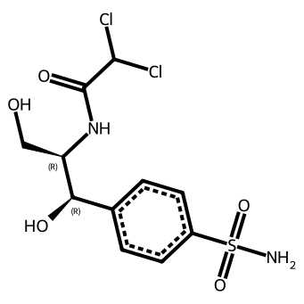 NS(=O)(=O)c1ccc([C@@H](O)[C@@H](CO)NC(=O)C(Cl)Cl)cc1